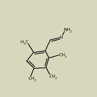 Cc1cc(C)c(C=NN)c(C)c1C